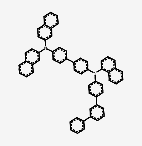 c1ccc(-c2cccc(-c3ccc(N(c4ccc(-c5ccc(N(c6ccc7ccccc7c6)c6ccc7ccccc7c6)cc5)cc4)c4cccc5ccccc45)cc3)c2)cc1